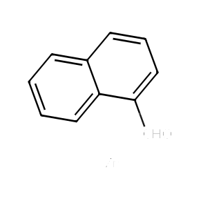 O=Cc1cccc2ccccc12.[Zn]